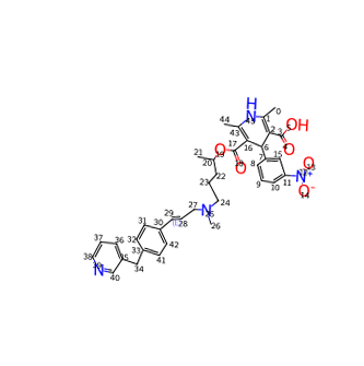 CC1=C(C(=O)O)C(c2cccc([N+](=O)[O-])c2)C(C(=O)OC(C)CCCN(C)C/C=C/c2ccc(Cc3cccnc3)cc2)=C(C)N1